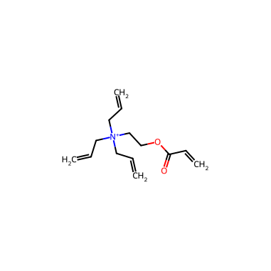 C=CC[N+](CC=C)(CC=C)CCOC(=O)C=C